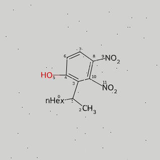 CCCCCCC(C)c1c(O)ccc([N+](=O)[O-])c1[N+](=O)[O-]